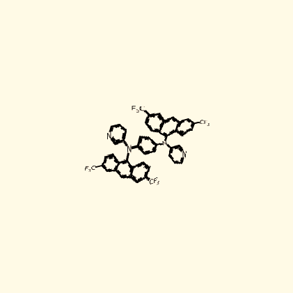 FC(F)(F)c1ccc2c(N(c3ccc(N(c4cccnc4)c4c5ccc(C(F)(F)F)cc5cc5cc(C(F)(F)F)ccc45)cc3)c3cccnc3)c3ccc(C(F)(F)F)cc3cc2c1